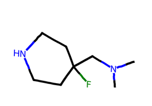 CN(C)CC1(F)CCNCC1